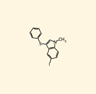 Cn1cc(Sc2ccccc2)c2cc(I)ccc21